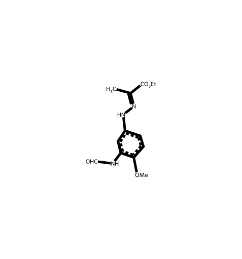 CCOC(=O)C(C)=NNc1ccc(OC)c(NC=O)c1